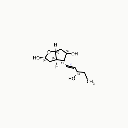 CC[C@H](O)/C=C/[C@@H]1[C@H]2C[C@@H](O)O[C@H]2C[C@H]1O